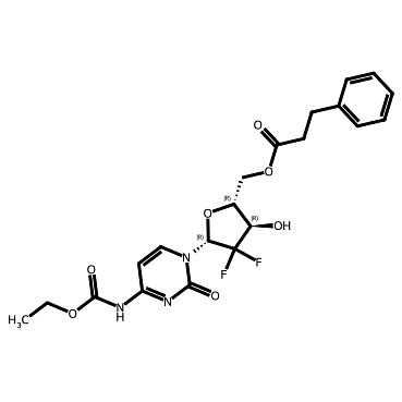 CCOC(=O)Nc1ccn([C@@H]2O[C@H](COC(=O)CCc3ccccc3)[C@@H](O)C2(F)F)c(=O)n1